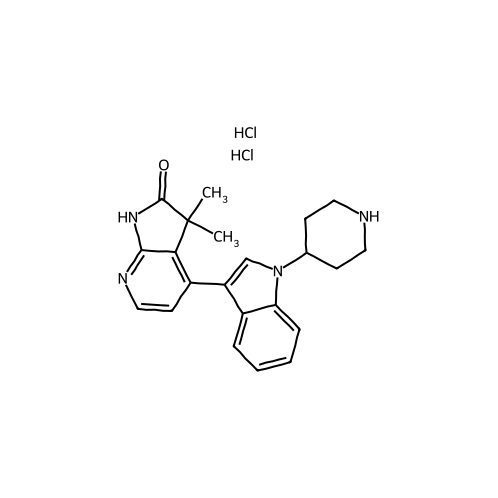 CC1(C)C(=O)Nc2nccc(-c3cn(C4CCNCC4)c4ccccc34)c21.Cl.Cl